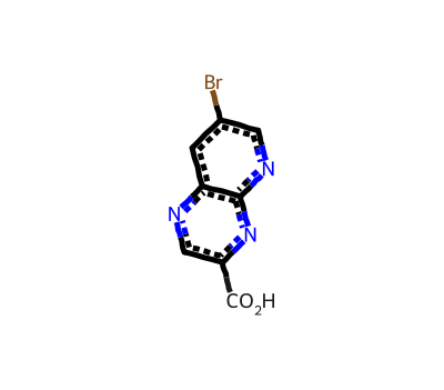 O=C(O)c1cnc2cc(Br)cnc2n1